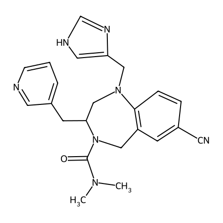 CN(C)C(=O)N1Cc2cc(C#N)ccc2N(Cc2c[nH]cn2)CC1Cc1cccnc1